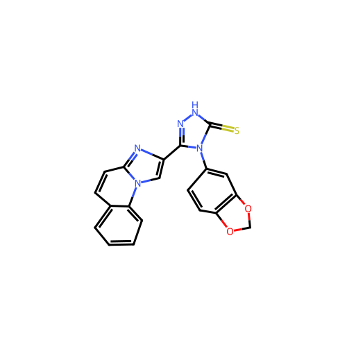 S=c1[nH]nc(-c2cn3c(ccc4ccccc43)n2)n1-c1ccc2c(c1)OCO2